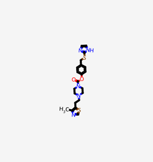 Cc1ncsc1CCN1CCN(C(=O)Oc2ccc(CSc3ncc[nH]3)cc2)CC1